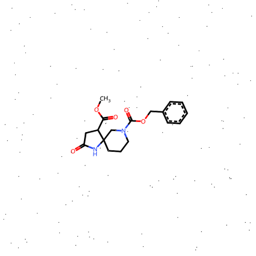 COC(=O)C1CC(=O)NC12CCCN(C(=O)OCc1ccccc1)C2